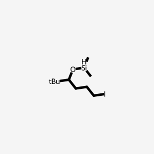 C[SiH](C)OC(CCCI)C(C)(C)C